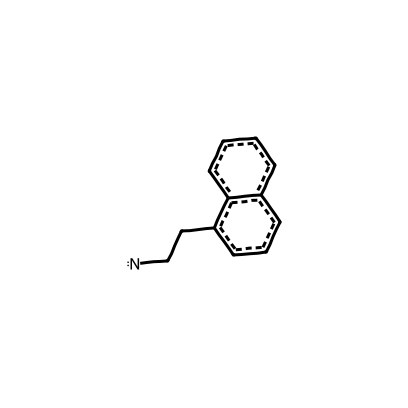 [N]CCc1cccc2ccccc12